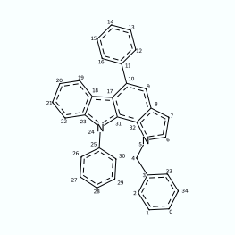 c1ccc(Cn2ccc3cc(-c4ccccc4)c4c5ccccc5n(-c5ccccc5)c4c32)cc1